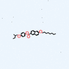 CCCCCCCCOc1ccc2cc(C(=O)Oc3ccc(OCC(C)CC)cc3)ccc2c1